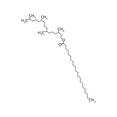 CCCCCCCCCCCCCCCCCCCCCC(=O)OCCC(C)CCCC(C)CCCC(C)CCCC(C)C